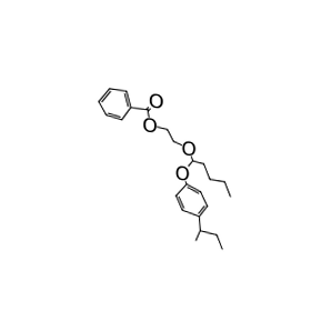 CCCCC(OCCOC(=O)c1ccccc1)Oc1ccc(C(C)CC)cc1